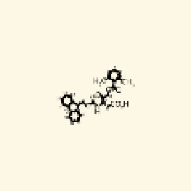 Cc1cccc(C)c1C(=O)OCC(=O)[C@H](CC(=O)O)NC(=O)OCC1c2ccccc2-c2ccccc21